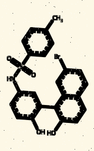 Cc1ccc(S(=O)(=O)Nc2ccc(O)c(-c3c(O)ccc4ccc(Br)cc34)c2)cc1